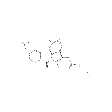 Cc1c(CC(=O)NCCO)c2cc(O)c(F)cc2n1C(=O)c1ccc(OC(F)F)cc1